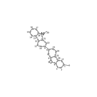 Cc1ccc2oc3cc(-c4ccc5c6ccccc6n(C)c5c4)ccc3c2c1